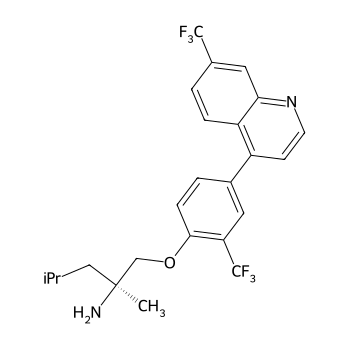 CC(C)C[C@](C)(N)COc1ccc(-c2ccnc3cc(C(F)(F)F)ccc23)cc1C(F)(F)F